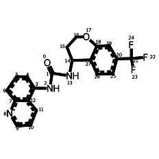 O=C(Nc1cccc2ncccc12)NC1CCOc2cc(C(F)(F)F)ccc21